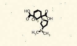 CN(C)C1CCN(C2(C(=O)O)CC=C[C@](C)(C(=O)O)C2)C1